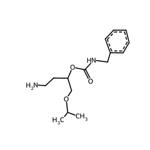 CC(C)OCC(CCN)OC(=O)NCc1ccccc1